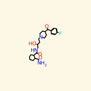 NC(=O)C1CCCCC1C(=O)NCC(O)CCN1CCC(C(=O)c2ccc(F)cc2)CC1